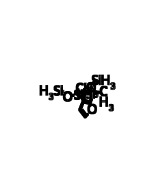 C[SiH](O[SiH3])c1ccoc1[SiH](C)O[SiH3]